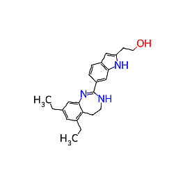 CCc1cc(CC)c2c(c1)N=C(c1ccc3cc(CCO)[nH]c3c1)NCC2